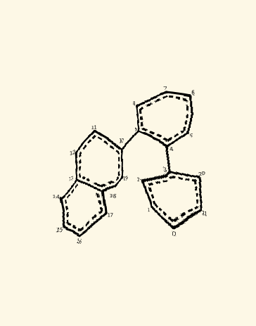 c1ccc(-c2ccccc2-c2ccc3ccccc3c2)cc1